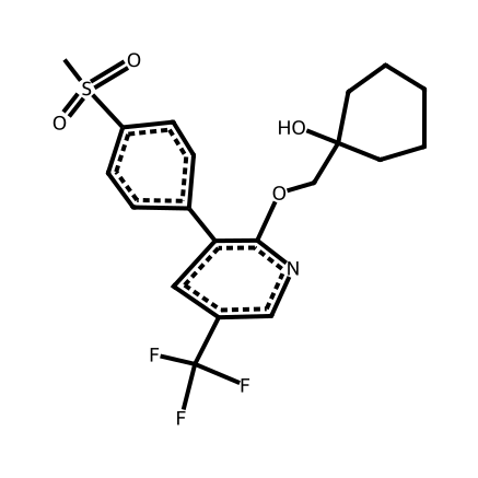 CS(=O)(=O)c1ccc(-c2cc(C(F)(F)F)cnc2OCC2(O)CCCCC2)cc1